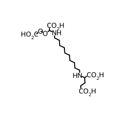 O=C(O)CCC(NCCCCCCCCCCNC(OOC(=O)O)C(=O)O)C(=O)O